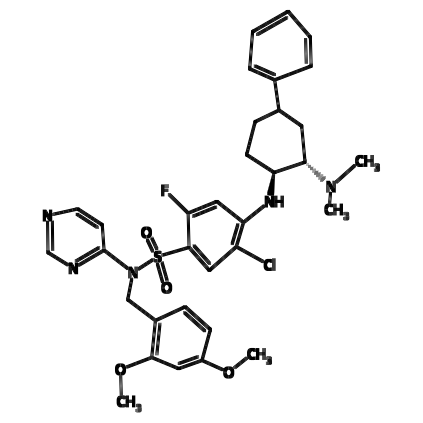 COc1ccc(CN(c2ccncn2)S(=O)(=O)c2cc(Cl)c(N[C@H]3CCC(c4ccccc4)C[C@@H]3N(C)C)cc2F)c(OC)c1